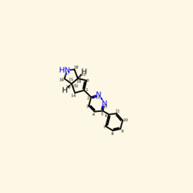 C1=C(c2ccc(-c3ccccc3)nn2)C[C@@H]2CNC[C@H]12